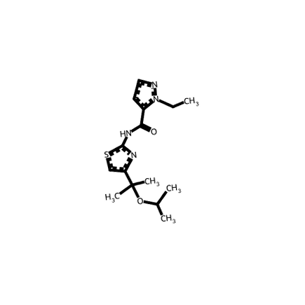 CCn1nccc1C(=O)Nc1nc(C(C)(C)OC(C)C)cs1